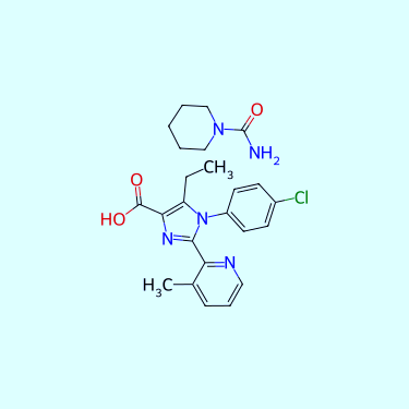 CCc1c(C(=O)O)nc(-c2ncccc2C)n1-c1ccc(Cl)cc1.NC(=O)N1CCCCC1